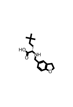 CC(C)(C)CC[C@H](NCc1ccc2c(c1)CCO2)C(=O)O